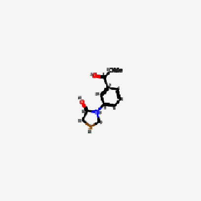 COC(=O)c1cccc(N2CSCC2=O)c1